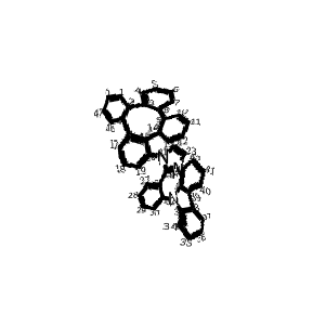 C1=CC2c3ccccc3C3C=CC=CC3c3c(cccc3-n3ccnc3-c3ccccc3-n3c4ccccc4c4ccccc43)C2C=C1